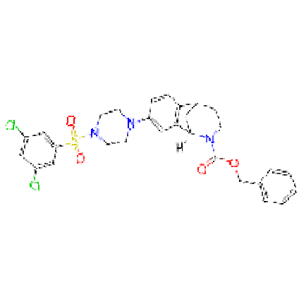 O=C(OCc1ccccc1)N1CCC2C[C@@H]1c1cc(N3CCN(S(=O)(=O)c4cc(Cl)cc(Cl)c4)CC3)ccc12